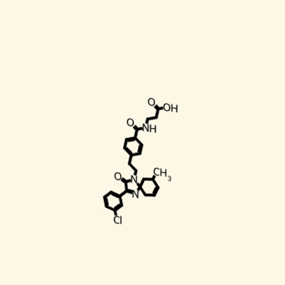 CC1C=CCC2(C1)N=C(c1cccc(Cl)c1)C(=O)N2CCc1ccc(C(=O)NCCC(=O)O)cc1